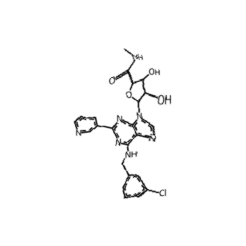 CNC(=O)C1OC(n2cnc3c(NCc4cccc(Cl)c4)nc(-c4cccnc4)nc32)C(O)C1O